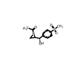 CC(=O)N1CC1[C@H](O)c1ccc(S(C)(=O)=O)cc1